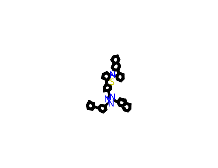 c1ccc(-c2cccc(-c3nc(-c4ccc5ccccc5c4)nc(-c4ccc5c(c4)sc4c(-n6c7ccccc7c7cc8ccccc8cc76)cccc45)n3)c2)cc1